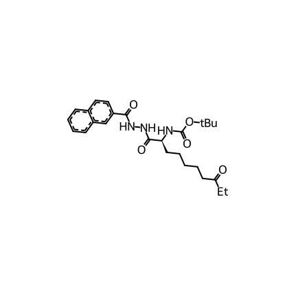 CCC(=O)CCCCC[C@H](NC(=O)OC(C)(C)C)C(=O)NNC(=O)c1ccc2ccccc2c1